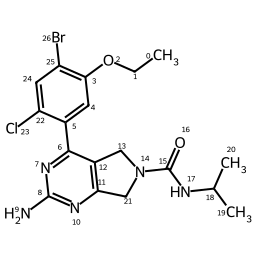 CCOc1cc(-c2nc(N)nc3c2CN(C(=O)NC(C)C)C3)c(Cl)cc1Br